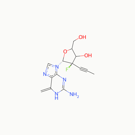 C=C1NC(N)=Nc2c1ncn2[C@@H]1OC(CO)C(O)[C@]1(F)C#CC